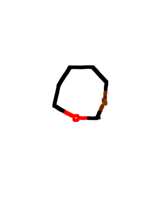 [CH]1OCCCCCS1